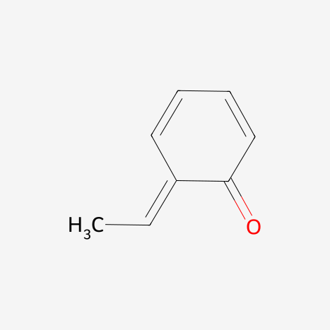 C/C=C1\C=CC=CC1=O